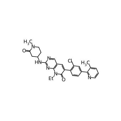 CCn1c(=O)c(-c2ccc(-c3ncccc3C)cc2Cl)cc2cnc(NC3CCN(C)C(=O)C3)nc21